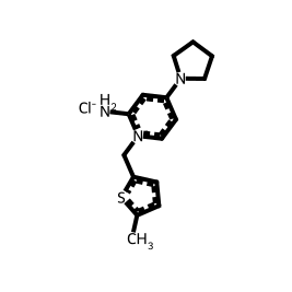 Cc1ccc(C[n+]2ccc(N3CCCC3)cc2N)s1.[Cl-]